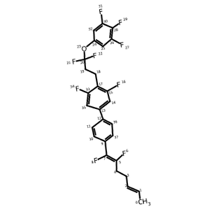 C/C=C/CC/C(F)=C(\F)c1ccc(-c2cc(F)c(CCC(F)(F)Oc3cc(F)c(F)c(F)c3)c(F)c2)cc1